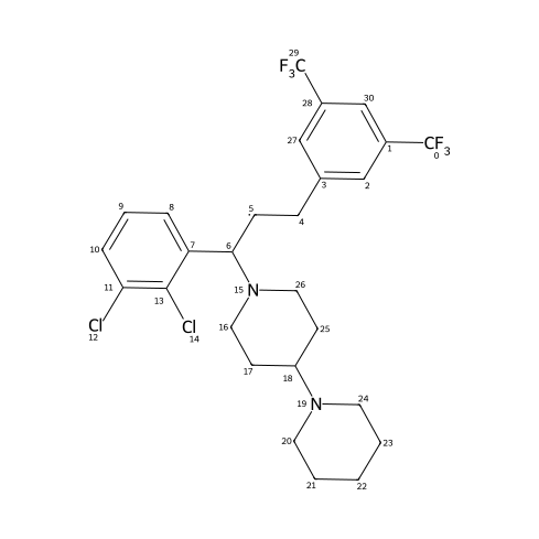 FC(F)(F)c1cc(C[CH]C(c2cccc(Cl)c2Cl)N2CCC(N3CCCCC3)CC2)cc(C(F)(F)F)c1